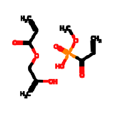 C=CC(=O)OCC(=C)O.C=CC(=O)P(=O)(O)OC